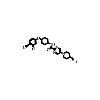 N#Cc1ccc(OC2CCC(NC(=O)c3ncc(N4CCC(CO)CC4)cn3)CC2)cc1Cl